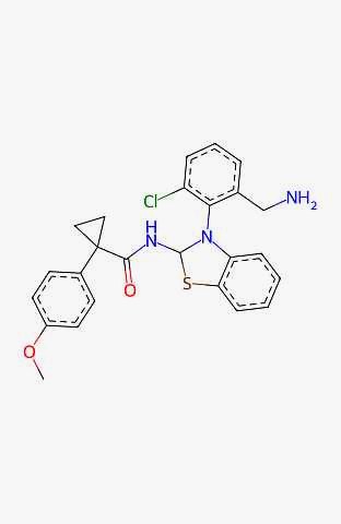 COc1ccc(C2(C(=O)NC3Sc4ccccc4N3c3c(Cl)cccc3CN)CC2)cc1